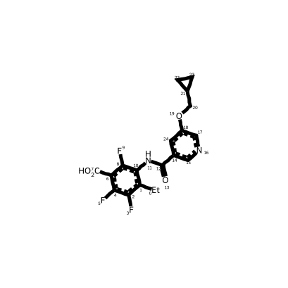 CCc1c(F)c(F)c(C(=O)O)c(F)c1NC(=O)c1cncc(OCC2CC2)c1